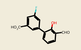 O=Cc1cccc(-c2cc(F)cc(C(=O)O)c2)c1O